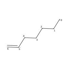 [CH2]CCCC[C]=C